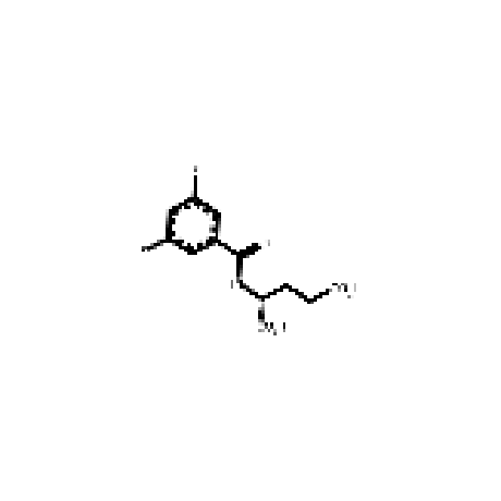 O=C(O)CC[C@H](NC(=O)c1cc(F)cc(F)c1)C(=O)O